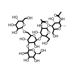 CC(=O)NC1[C@H](O[C@@H]2C(CO)O[C@@H](C)C(NC(C)=O)[C@H]2O)OC(CO)[C@@H](O[C@@H]2OC(CO[C@H]3OC(CO)[C@@H](O)[C@H](O)C3O)[C@@H](O)[C@H](O[C@H]3O[C@@H](CO)C(O)C(O)C3O)C2O)[C@@H]1O